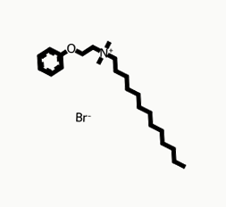 CCCCCCCCCCCCC[N+](C)(C)CCOc1ccccc1.[Br-]